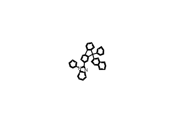 c1ccc(-n2c(-c3ccc4c(c3)C(c3ccccc3)(c3ccc5ccccc5c3)c3ccccc3-4)nc3ccccc32)cc1